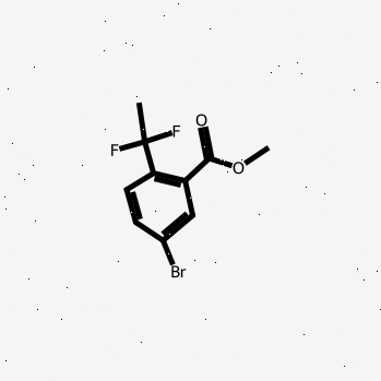 COC(=O)c1cc(Br)ccc1C(C)(F)F